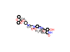 CN(CCCn1c(=O)oc2cc(CNC[C@H](O[Si](C)(C)C(C)(C)C)c3ccc(O)c4[nH]c(=O)ccc34)ccc21)C1CCC(OC(=O)C2(C)c3ccccc3Oc3ccccc32)CC1